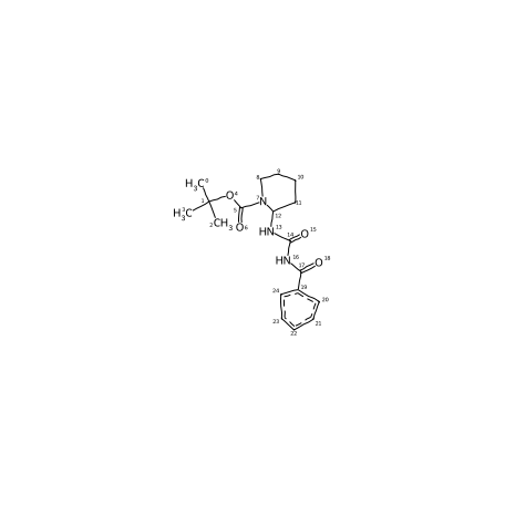 CC(C)(C)OC(=O)N1CCCCC1NC(=O)NC(=O)c1ccccc1